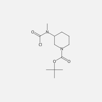 CN(C(=O)Cl)C1CCCN(C(=O)OC(C)(C)C)C1